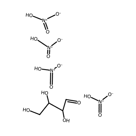 O=CC(O)C(O)CO.O=[N+]([O-])O.O=[N+]([O-])O.O=[N+]([O-])O.O=[N+]([O-])O